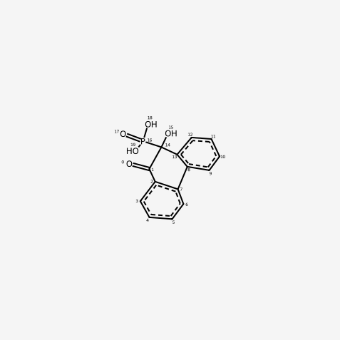 O=C1c2ccccc2-c2ccccc2C1(O)P(=O)(O)O